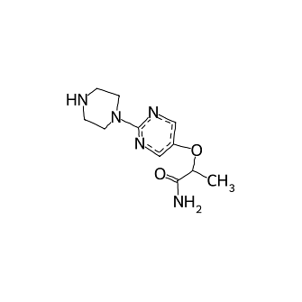 CC(Oc1cnc(N2CCNCC2)nc1)C(N)=O